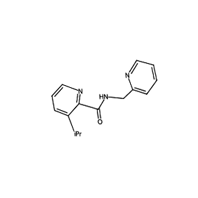 CC(C)c1cccnc1C(=O)NCc1ccccn1